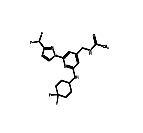 CC(=O)NCc1cc(NC2CCC(F)(F)CC2)nc(-n2ccc(C(F)F)n2)c1